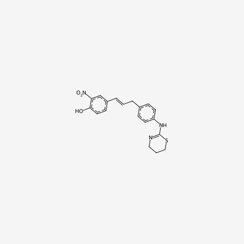 O=[N+]([O-])c1cc(C=CCc2ccc(NC3=NCCCS3)cc2)ccc1O